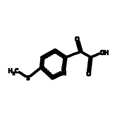 CSc1ccc(C(=O)C(=O)O)nc1